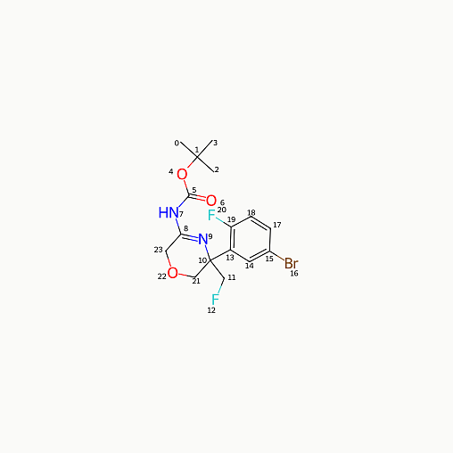 CC(C)(C)OC(=O)NC1=NC(CF)(c2cc(Br)ccc2F)COC1